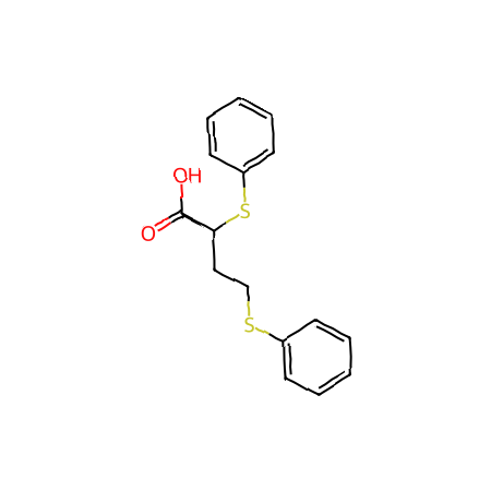 O=C(O)C(CCSc1ccccc1)Sc1ccccc1